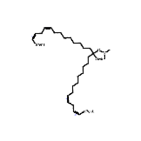 CCCCC/C=C\C/C=C\CCCCCCCCC(CCCCCCCC/C=C\C/C=C\CCCCC)(OC)ON(C)C